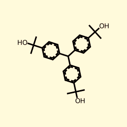 CC(C)(O)c1ccc(C(c2ccc(C(C)(C)O)cc2)c2ccc(C(C)(C)O)cc2)cc1